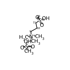 CS(=O)(=O)O.C[N+](C)(C)CCCS(=O)(=O)O